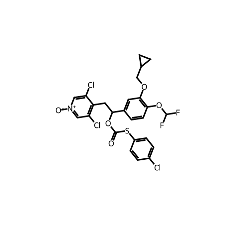 O=C(OC(Cc1c(Cl)c[n+]([O-])cc1Cl)c1ccc(OC(F)F)c(OCC2CC2)c1)Sc1ccc(Cl)cc1